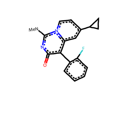 CNc1nc(=O)c(-c2ccccc2F)c2cc(C3CC3)ccn12